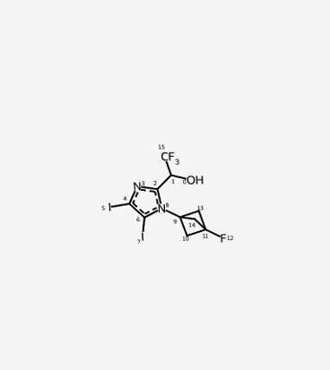 OC(c1nc(I)c(I)n1C12CC(F)(C1)C2)C(F)(F)F